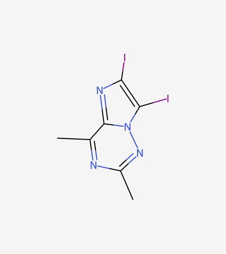 Cc1nc(C)c2nc(I)c(I)n2n1